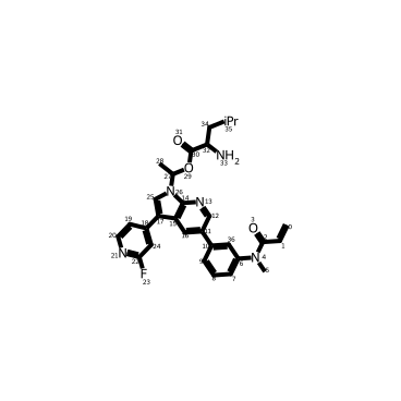 C=CC(=O)N(C)c1cccc(-c2cnc3c(c2)c(-c2ccnc(F)c2)cn3C(C)OC(=O)C(N)CC(C)C)c1